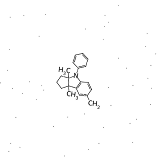 Cc1ccc2c(c1)C1(C)CCCC1(C)N2c1ccccc1